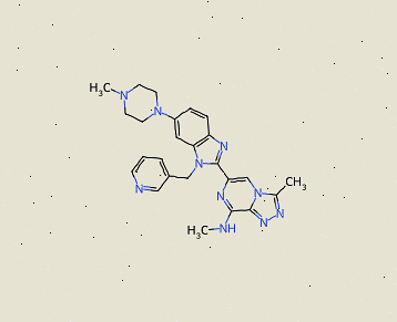 CNc1nc(-c2nc3ccc(N4CCN(C)CC4)cc3n2Cc2cccnc2)cn2c(C)nnc12